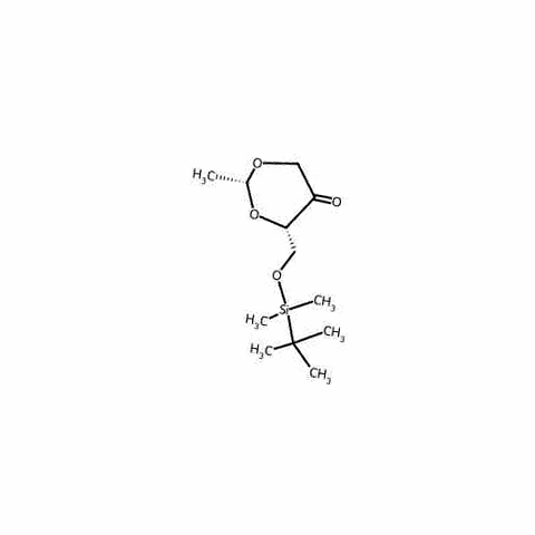 C[C@@H]1OCC(=O)[C@H](CO[Si](C)(C)C(C)(C)C)O1